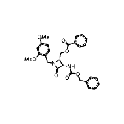 COc1ccc(CN2C(=O)[C@H](NC(=O)OCc3ccccc3)[C@@H]2COC(=O)c2ccccc2)c(OC)c1